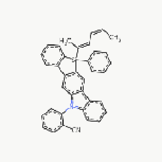 C/C=C\C=C(/C)[Si]1(c2ccccc2)c2ccccc2-c2cc3c(cc21)c1ccccc1n3-c1ccccc1C#N